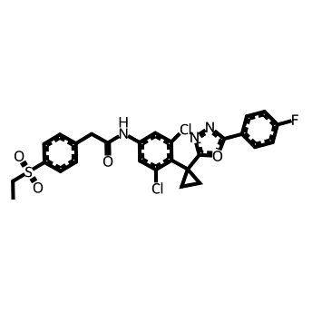 CCS(=O)(=O)c1ccc(CC(=O)Nc2cc(Cl)c(C3(c4nnc(-c5ccc(F)cc5)o4)CC3)c(Cl)c2)cc1